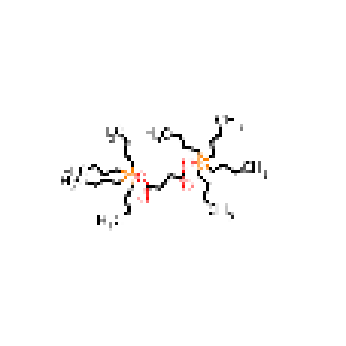 CCCCP(CCCC)(CCCC)(CCCC)OC(=O)CCC(=O)OP(CCCC)(CCCC)(CCCC)CCCC